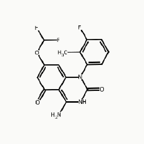 Cc1c(F)cccc1-n1c2cc(OC(F)F)cc(=O)c-2c(N)[nH]c1=O